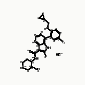 Cc1[nH]c2c(-c3cc(F)ccc3OCC3CC3)ncnc2c1C(=O)N[C@@H]1CCNC[C@@H]1O.Cl